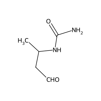 CC(CC=O)NC(N)=O